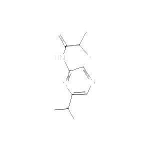 C=C(Nc1cncc(C(C)C)n1)C(C)C